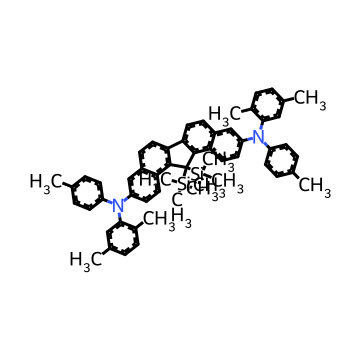 Cc1ccc(N(c2ccc3c4c(ccc3c2)-c2ccc3cc(N(c5ccc(C)cc5)c5cc(C)ccc5C)ccc3c2C4([Si](C)(C)C)[Si](C)(C)C)c2cc(C)ccc2C)cc1